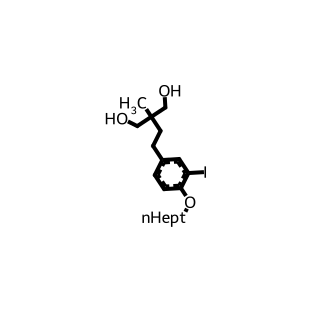 CCCCCCCOc1ccc(CCC(C)(CO)CO)cc1I